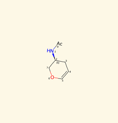 CC(=O)N[C@H]1CC=COC1